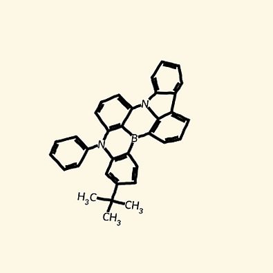 CC(C)(C)c1ccc2c(c1)N(c1ccccc1)c1cccc3c1B2c1cccc2c4ccccc4n-3c12